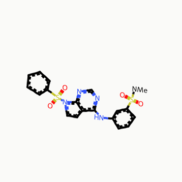 CNS(=O)(=O)c1cccc(Nc2ncnc3c2ccn3S(=O)(=O)c2ccccc2)c1